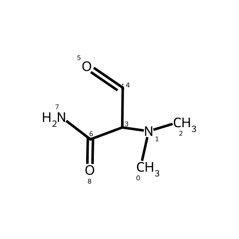 CN(C)C([C]=O)C(N)=O